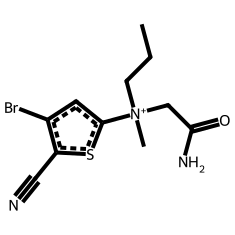 CCC[N+](C)(CC(N)=O)c1cc(Br)c(C#N)s1